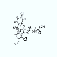 COc1ccc2c(c1Cl)c(CC(=O)NCC(=O)O)c(C)n2C(=O)c1ccc(Cl)cc1